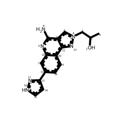 CC(O)Cn1cc2c(N)nc3cc(-c4cc[nH]n4)ccc3c2n1